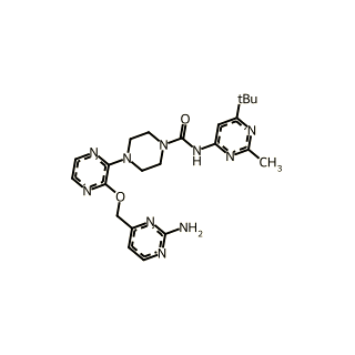 Cc1nc(NC(=O)N2CCN(c3nccnc3OCc3ccnc(N)n3)CC2)cc(C(C)(C)C)n1